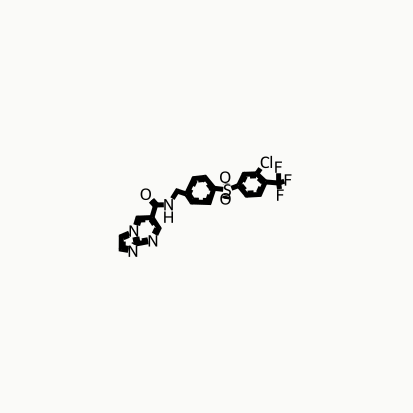 O=C(NCc1ccc(S(=O)(=O)c2ccc(C(F)(F)F)c(Cl)c2)cc1)c1cnc2nccn2c1